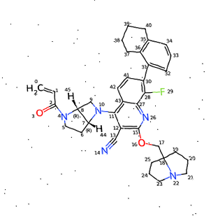 C=CC(=O)N1CC[C@@H]2[C@H]1CN2c1c(C#N)c(OCC23CCCN2CCC3)nc2c(F)c(-c3cccc4c3CCCC4)ccc12